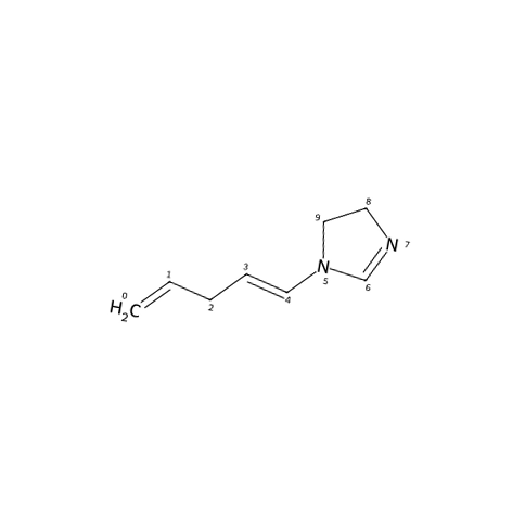 C=CCC=CN1C=NCC1